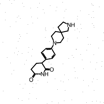 O=C1CCC(c2ccc(N3CCC4(CCNC4)CC3)cc2)C(=O)N1